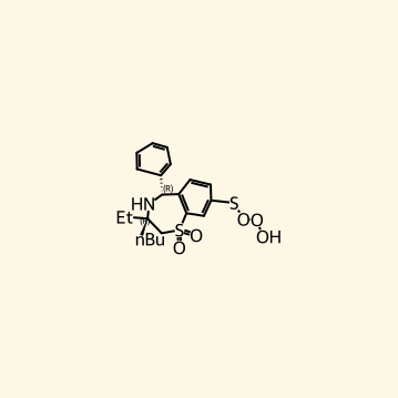 CCCC[C@]1(CC)CS(=O)(=O)c2cc(SOOO)ccc2[C@@H](c2ccccc2)N1